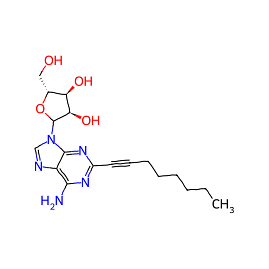 CCCCCCC#Cc1nc(N)c2ncn(C3O[C@H](CO)[C@@H](O)[C@H]3O)c2n1